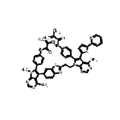 C=C(C)C(=O)Nc1ccc(-c2c(-c3ccc4nc(CCn5c(-c6ccc(NC(=O)C(=C)C)cc6)c(-c6ccc(-c7ccccn7)s6)c6c(N)ncnc65)sc4c3)c3c(N)ncnc3n2C)cc1